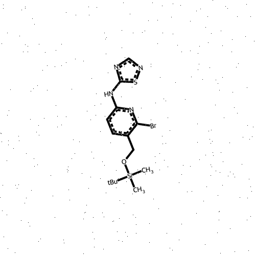 CC(C)(C)[Si](C)(C)OCc1ccc(Nc2ncns2)nc1Br